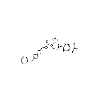 C[C@@H]1CN(c2ncc(C(F)(F)F)cn2)CCN1C(=O)OCC1CC2(C1)CN(Cc1ccccc1)C2